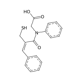 O=C(O)CN(C(=O)/C(=C\c1ccccc1)CS)c1ccccc1